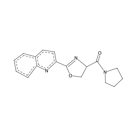 O=C(C1COC(c2ccc3ccccc3n2)=N1)N1CCCC1